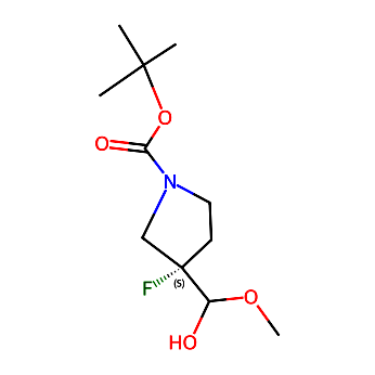 COC(O)[C@]1(F)CCN(C(=O)OC(C)(C)C)C1